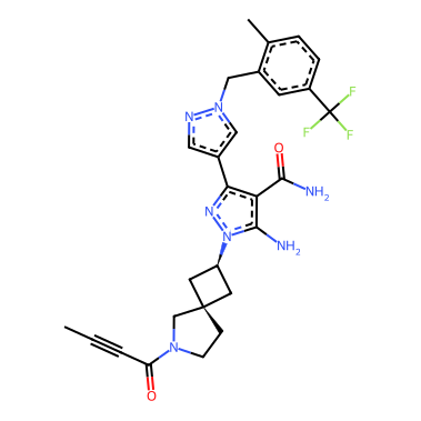 CC#CC(=O)N1CC[C@]2(C1)C[C@H](n1nc(-c3cnn(Cc4cc(C(F)(F)F)ccc4C)c3)c(C(N)=O)c1N)C2